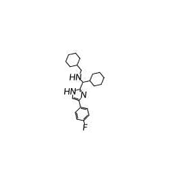 Fc1ccc(-c2c[nH]c(C(NCC3CCCCC3)C3CCCCC3)n2)cc1